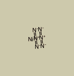 [N-]=[N+]=[N-].[N-]=[N+]=[N-].[Ni+2]